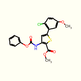 COC(=O)c1sc(-c2cc(OC)ccc2Cl)cc1NC(=O)Oc1ccccc1